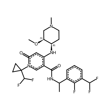 CO[C@H]1CN(C)CC[C@H]1Nc1cc(=O)n(C2(C(F)F)CC2)cc1C(=O)NC(C)c1cccc(C(F)F)c1F